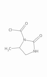 CC1CNC(=O)N1C(=O)Cl